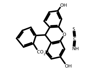 N=C=S.O=C(O)c1ccccc1C1c2ccc(O)cc2Oc2cc(O)ccc21